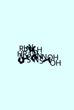 Cc1n[n]([Rb])[c]([RaH])c1Oc1cc(SC(C)c2ccccn2)cnc1Nc1nc(C(O)CO)cs1